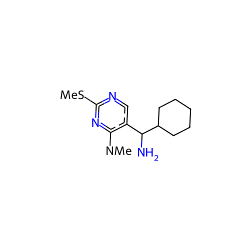 CNc1nc(SC)ncc1C(N)C1CCCCC1